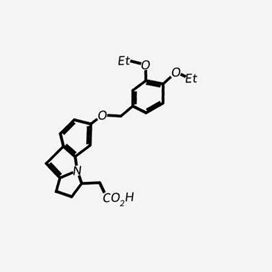 CCOc1ccc(COc2ccc3cc4n(c3c2)C(CC(=O)O)CC4)cc1OCC